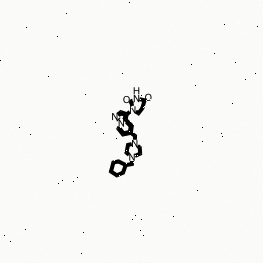 O=C1CCN(c2cnn3ccc(CN4CCN(CC5CCCCC5)CC4)cc23)C(=O)N1